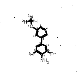 [2H]c1cc(-c2cccc(OC([2H])([2H])[2H])c2)cc(F)c1N